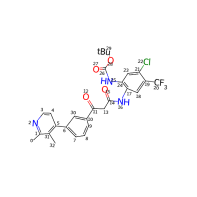 Cc1nccc(-c2cccc(C(=O)CC(=O)Nc3cc(C(F)(F)F)c(Cl)cc3NC(=O)OC(C)(C)C)c2)c1C